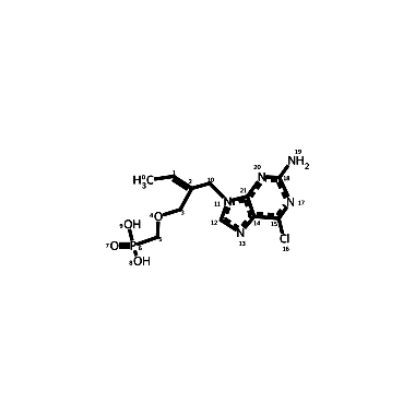 CC=C(COCP(=O)(O)O)Cn1cnc2c(Cl)nc(N)nc21